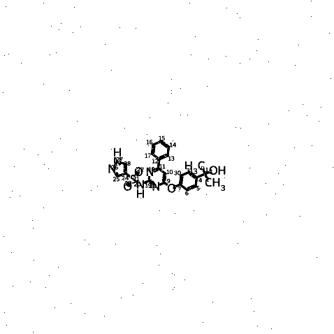 CC(C)(O)c1ccc(Oc2cc(-c3ccccc3)nc(NS(=O)(=O)c3cn[nH]c3)n2)cc1